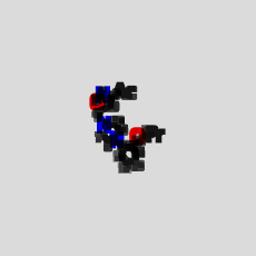 CC(=O)C1=NOC(CN2CCN(c3ccccc3OC(C)C)CC2)C1